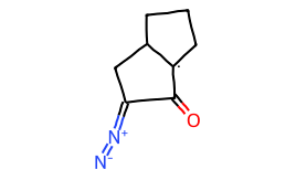 [N-]=[N+]=C1CC2CCC[C]2C1=O